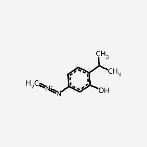 C=[N+]=Nc1ccc(C(C)C)c(O)c1